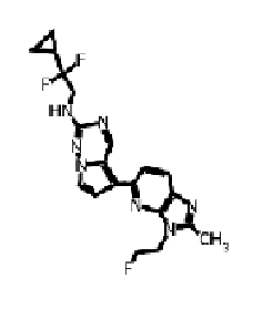 Cc1nc2ccc(-c3ccn4nc(NCC(F)(F)C5CC5)ncc34)nc2n1CCF